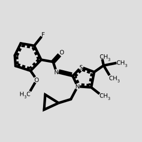 COc1cccc(F)c1C(=O)/N=c1\sc(C(C)(C)C)c(C)n1CC1CC1